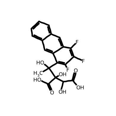 CC(O)(c1c(F)c(F)c(F)c2cc3ccccc3cc12)C(O)(C(=O)O)C(O)C(=O)O